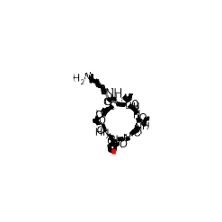 C/C=C(\C)[C@H]1OC(=O)[C@@H](C)NC(=O)[C@H](C(C)CC)NC(=O)CN(C)C(=O)[C@@H](Cc2ccccc2)N(C)C(=O)[C@H](C)NC(=O)[C@@H](CC(C)C)OC(=O)/C(C)=C/C[C@H](CC(=O)NCCCCCCN)[C@@H]1C